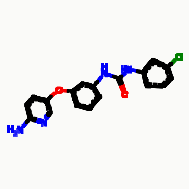 Nc1ccc(Oc2cccc(NC(=O)Nc3cccc(Cl)c3)c2)cn1